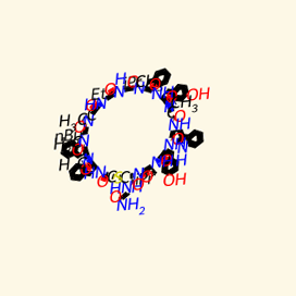 CCCC[C@H]1C(=O)N(C)CC(=O)N[C@@H](CC)C(=O)N[C@@H](C(C)C)C(=O)N(C)[C@@H](Cc2ccccc2)C(=O)N[C@@H](Cc2ccc(O)cc2)C(=O)N(C)CC(=O)N[C@@H](Cc2c[nH]c3ccccc23)C(=O)NC(Cc2ccc(O)cc2)C(=O)N[C@@H](CC(C)C)C(=O)N[C@H](C(=O)NCC(N)=O)CSCC(=O)N[C@@H](Cc2ccccc2)C(=O)N(C)[C@@H](Cc2ccccc2)C(=O)N1C